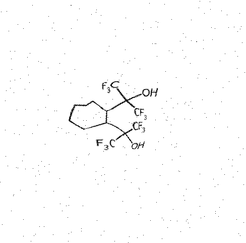 OC(C1CCCCC1C(O)(C(F)(F)F)C(F)(F)F)(C(F)(F)F)C(F)(F)F